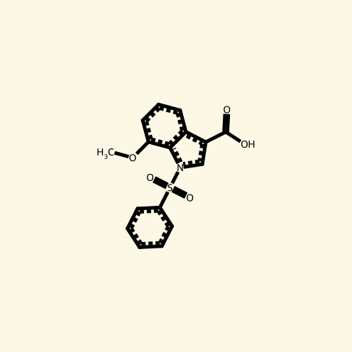 COc1cccc2c(C(=O)O)cn(S(=O)(=O)c3ccccc3)c12